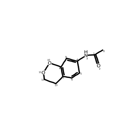 CC(=O)Nc1ccc2c(c1)OOCC2